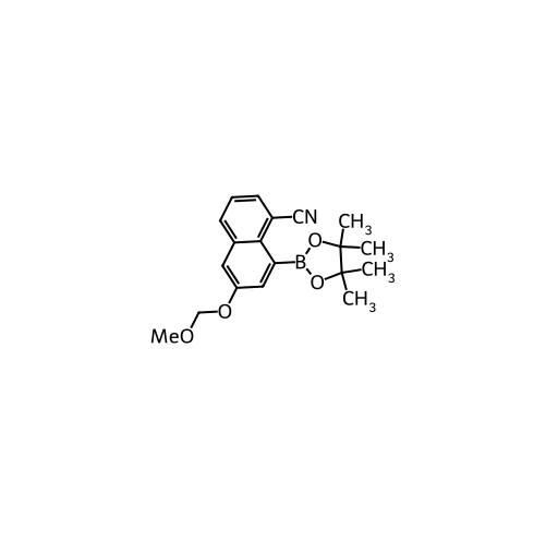 COCOc1cc(B2OC(C)(C)C(C)(C)O2)c2c(C#N)cccc2c1